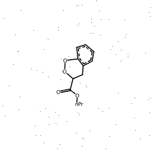 CCCOC(=O)C1Cc2ccccc2OO1